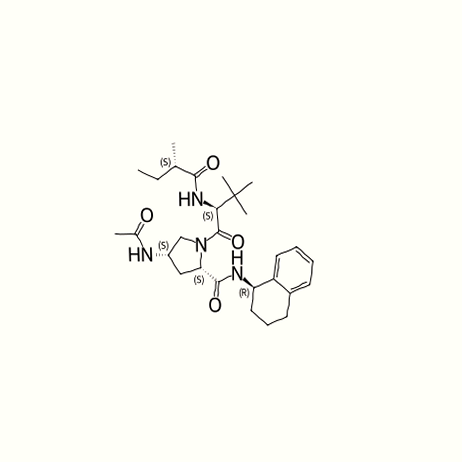 CC[C@H](C)C(=O)N[C@H](C(=O)N1C[C@@H](NC(C)=O)C[C@H]1C(=O)N[C@@H]1CCCc2ccccc21)C(C)(C)C